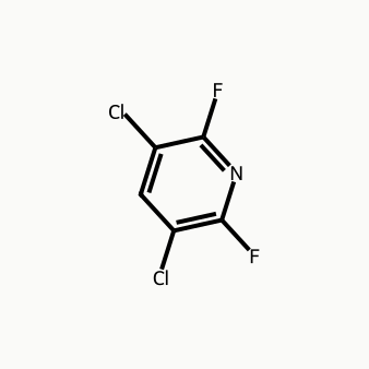 Fc1nc(F)c(Cl)cc1Cl